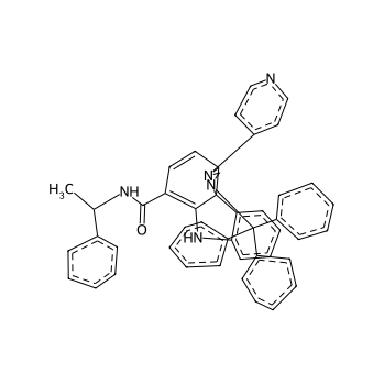 CC(NC(=O)C1=C2Nc3ccccc3C23C(C=C1)N(c1ccncc1)CN3C(c1ccccc1)(c1ccccc1)c1ccccc1)c1ccccc1